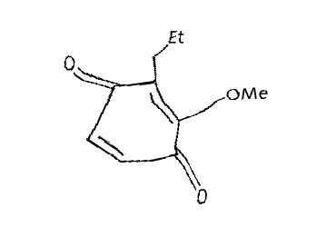 CCC1=C(OC)C(=O)C=CC1=O